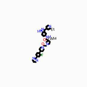 CCc1cc(-c2n[nH]c3ccc(NC(=O)[C@]4(OC)CCN(CC(=O)N5CC=C(c6ccc(-c7ncccn7)cc6F)CC5)C4)cc23)ccn1